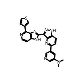 CN(C)c1cncc(-c2ccc3[nH]nc(-c4nc5c(-c6ccsc6)nccc5[nH]4)c3n2)c1